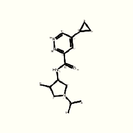 CC1CN(C(C)C)CC1NC(=O)c1cc(C2CC2)cnn1